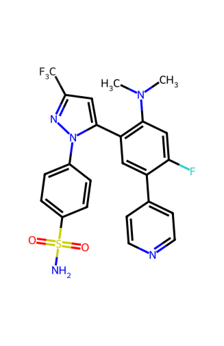 CN(C)c1cc(F)c(-c2ccncc2)cc1-c1cc(C(F)(F)F)nn1-c1ccc(S(N)(=O)=O)cc1